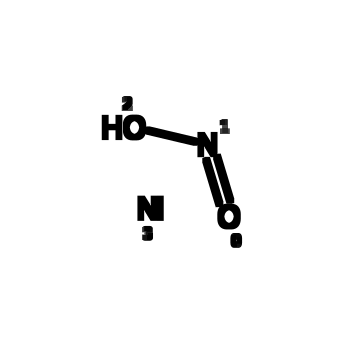 O=NO.[Ni]